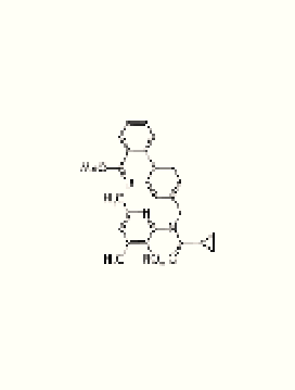 COC(=O)c1ccccc1-c1ccc(CN(C(=O)C2CC2)c2nc(C)cc(C)c2[N+](=O)[O-])cc1